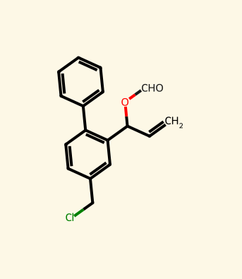 C=CC(OC=O)c1cc(CCl)ccc1-c1ccccc1